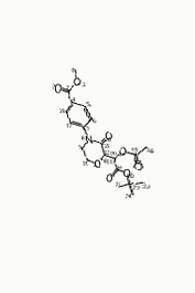 COC(=O)c1ccc(N2CCO[C@H]([C@@H](OC(C)=O)C(=O)OC(C)(C)C)C2=O)cc1